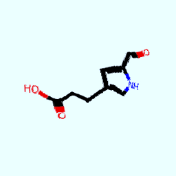 O=Cc1cc(CCC(=O)O)c[nH]1